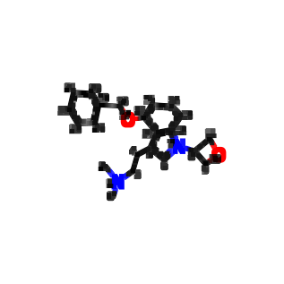 CN(C)CCc1cn(C2COC2)c2cccc(OCc3ccccc3)c12